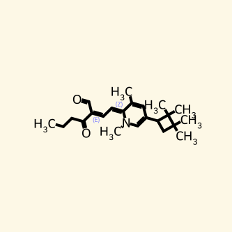 CCCC(=O)/C(C=O)=C/C=C1/C(C)=CC(C2CC(C)(C)C2(C)C)=CN1C